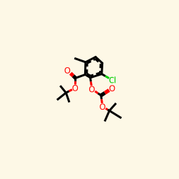 Cc1ccc(Cl)c(OC(=O)OC(C)(C)C)c1C(=O)OC(C)(C)C